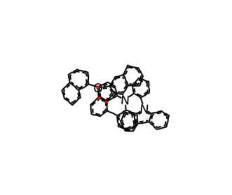 c1ccc(N(c2ccc(-c3cccc4ccccc34)cc2)c2ccccc2-n2c3ccccc3c3ccccc32)c(-c2cccc3oc4cc5ccccc5cc4c23)c1